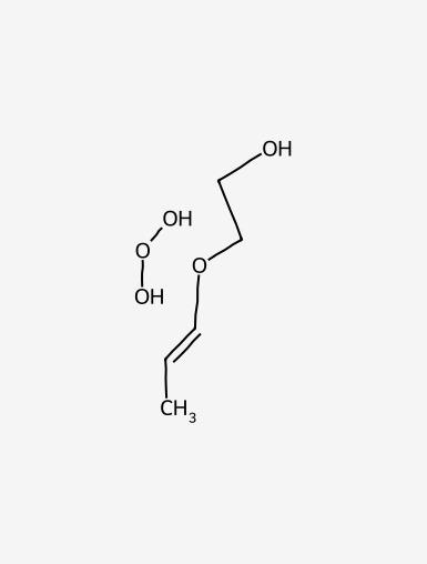 CC=COCCO.OOO